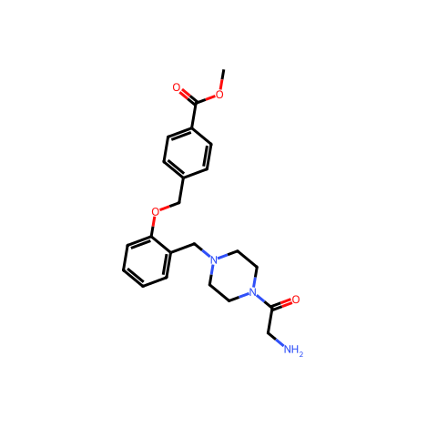 COC(=O)c1ccc(COc2ccccc2CN2CCN(C(=O)CN)CC2)cc1